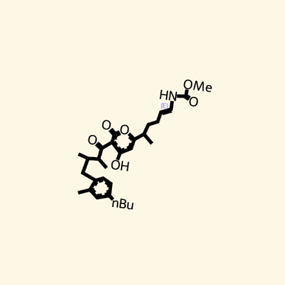 CCCCc1ccc(CC(C)C(C)C(=O)c2c(O)cc(C(C)CC/C=C/NC(=O)OC)oc2=O)c(C)c1